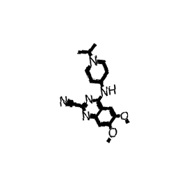 COc1cc2nc(C#N)nc(NC3CCN(C(C)C)CC3)c2cc1OC